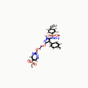 Cc1ccc(-c2c(OCCOc3ncc(S(C)(=O)=O)cn3)nn(C)c2NS(=O)(=O)c2ccc(C(C)(C)C)cc2)cc1